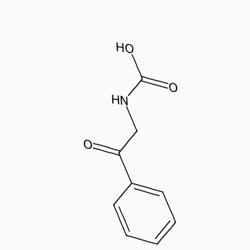 O=C(O)NCC(=O)c1ccccc1